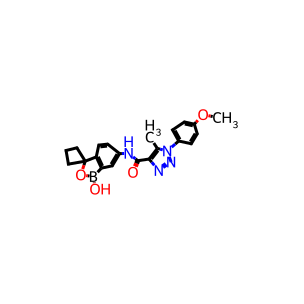 COc1ccc(-n2nnc(C(=O)Nc3ccc4c(c3)B(O)OC43CCC3)c2C)cc1